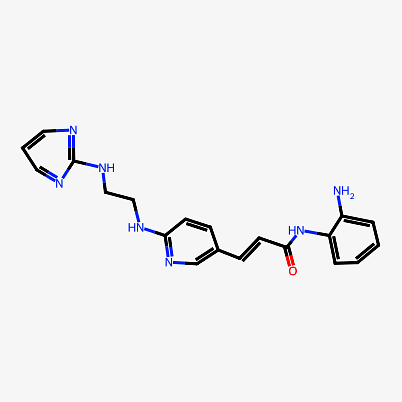 Nc1ccccc1NC(=O)/C=C/c1ccc(NCCNc2ncccn2)nc1